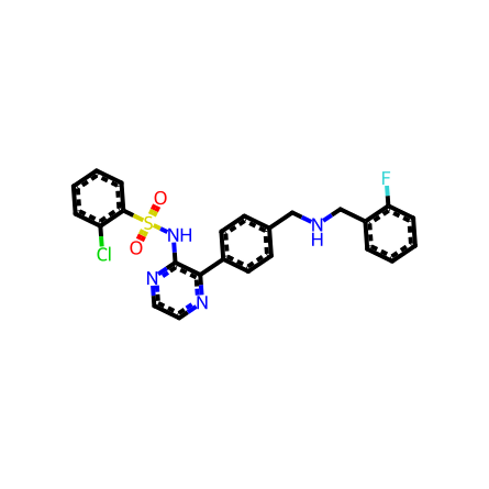 O=S(=O)(Nc1nccnc1-c1ccc(CNCc2ccccc2F)cc1)c1ccccc1Cl